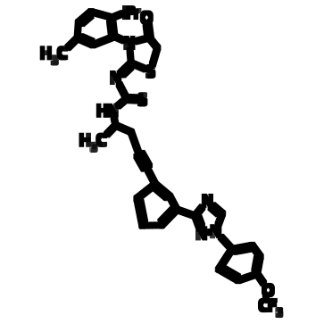 Cc1ccc(C(C)C)c(N2C(=O)CS/C2=N\C(=S)NC(C)CC#Cc2cccc(-c3ncn(-c4ccc(OC(F)(F)F)cc4)n3)c2)c1